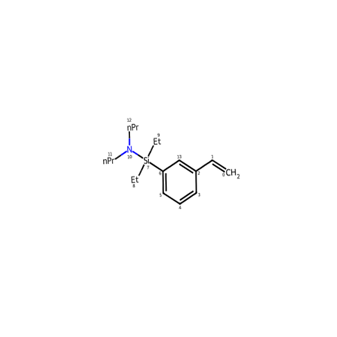 C=Cc1cccc([Si](CC)(CC)N(CCC)CCC)c1